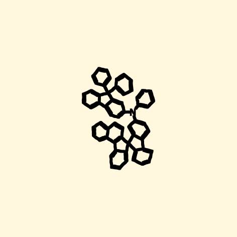 c1ccc(N(c2ccc3c(c2)C(c2ccccc2)(c2ccccc2)c2ccccc2-3)c2ccc3c(c2)C2(c4ccccc4-3)c3ccccc3-c3c2ccc2ccccc32)cc1